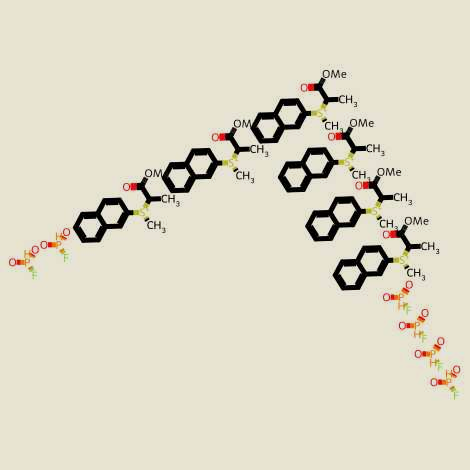 COC(=O)C(C)[S+](C)c1ccc2ccccc2c1.COC(=O)C(C)[S+](C)c1ccc2ccccc2c1.COC(=O)C(C)[S+](C)c1ccc2ccccc2c1.COC(=O)C(C)[S+](C)c1ccc2ccccc2c1.COC(=O)C(C)[S+](C)c1ccc2ccccc2c1.COC(=O)C(C)[S+](C)c1ccc2ccccc2c1.O=[PH]([O-])F.O=[PH]([O-])F.O=[PH]([O-])F.O=[PH]([O-])F.O=[PH]([O-])F.O=[PH]([O-])F